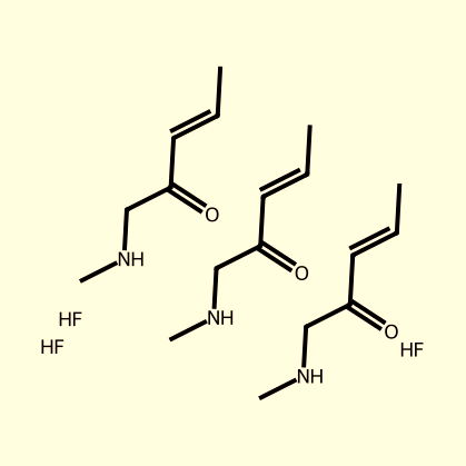 C/C=C/C(=O)CNC.C/C=C/C(=O)CNC.C/C=C/C(=O)CNC.F.F.F